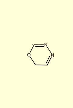 [C]1=NN=CCO1